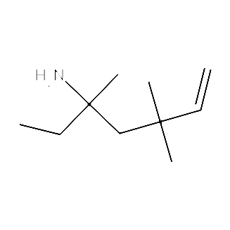 C=CC(C)(C)CC(C)(N)CC